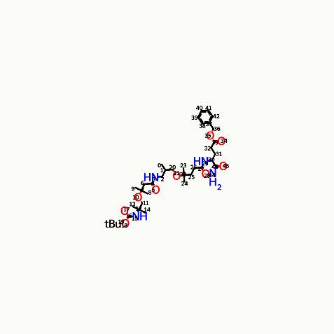 CC(CNC(=O)CC(C)(C)OCC(C)(C)NC(=O)OC(C)(C)C)COC(C)(C)CCC(=O)N[C@@H](CCC(=O)OCc1ccccc1)C(N)=O